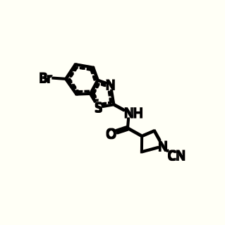 N#CN1CC(C(=O)Nc2nc3ccc(Br)cc3s2)C1